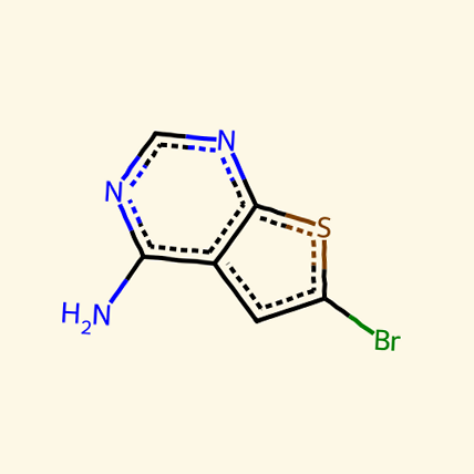 Nc1ncnc2sc(Br)cc12